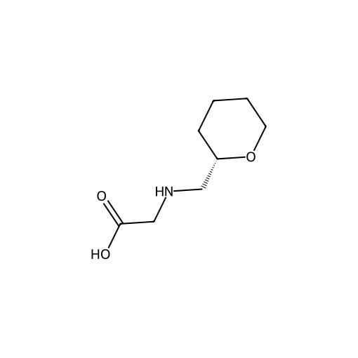 O=C(O)CNC[C@@H]1CCCCO1